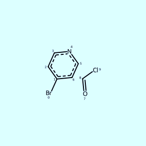 Brc1ccncc1.O=CCl